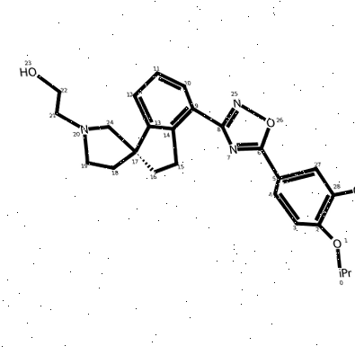 CC(C)Oc1ccc(-c2nc(-c3cccc4c3CC[C@@]43CCN(CCO)C3)no2)cc1C#N